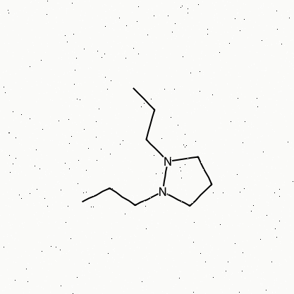 CCCN1CCCN1CCC